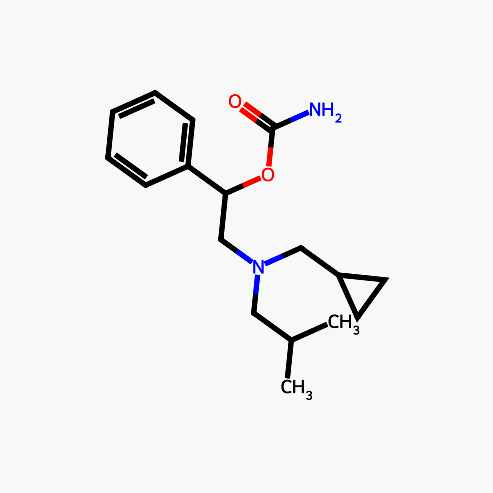 CC(C)CN(CC1CC1)CC(OC(N)=O)c1ccccc1